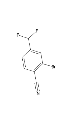 N#Cc1ccc(C(F)F)cc1Br